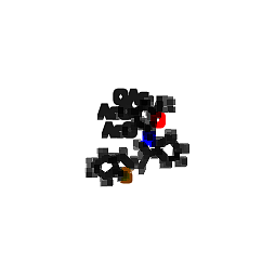 CC[C@H]1O[C@@H](n2cc(Cc3cc4ccccc4s3)c3ccccc32)[C@H](OC(C)=O)[C@@H](OC(C)=O)[C@@H]1OC(C)=O